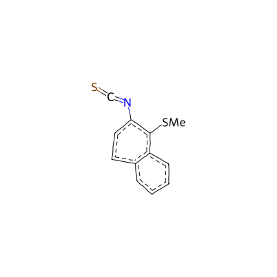 CSc1c(N=C=S)ccc2ccccc12